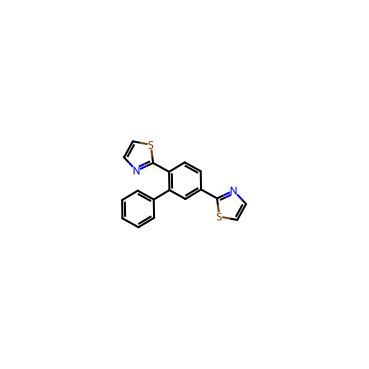 c1ccc(-c2cc(-c3nccs3)ccc2-c2nccs2)cc1